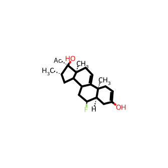 CC(=O)[C@@]1(O)[C@@H](C)CC2C3C[C@H](F)[C@@H]4CC(O)=CC[C@]4(C)C3=CC[C@@]21C